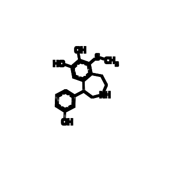 CSc1c(O)c(O)cc2c1CCNCC2c1cccc(O)c1